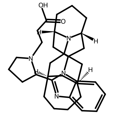 O=C(O)CCN1CCCC1c1nc2ccccc2n1C1C[C@H]2CCC[C@@H](C1)N2C1C[C@H]2CCCC[C@@H](C1)C2